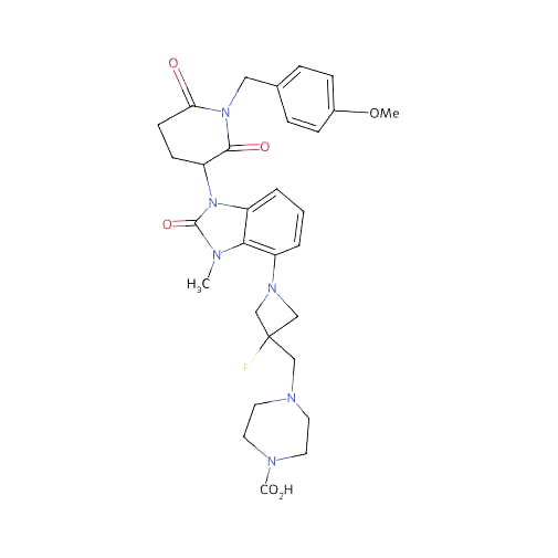 COc1ccc(CN2C(=O)CCC(n3c(=O)n(C)c4c(N5CC(F)(CN6CCN(C(=O)O)CC6)C5)cccc43)C2=O)cc1